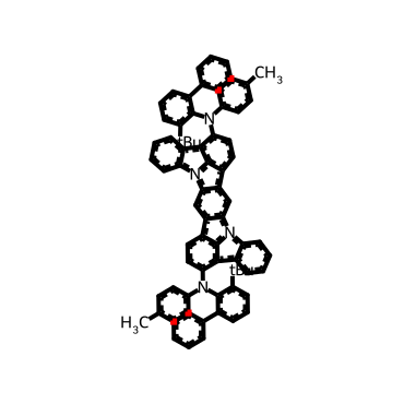 Cc1ccc(N(c2c(-c3ccccc3)cccc2C(C)(C)C)c2ccc3c4cc5c(cc4n4c6ccccc6c2c34)c2ccc(N(c3ccc(C)cc3)c3c(-c4ccccc4)cccc3C(C)(C)C)c3c4ccccc4n5c23)cc1